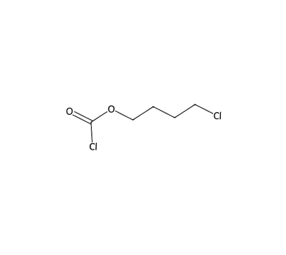 O=C(Cl)OCCCCCl